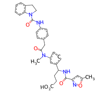 Cc1cc(C(=O)NC(CCC(=O)O)c2cccc(N(C)C(=O)Cc3ccc(NC(=O)N4CCc5ccccc54)cc3)c2)no1